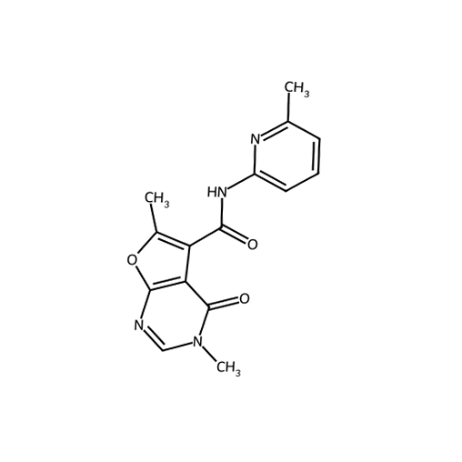 Cc1cccc(NC(=O)c2c(C)oc3ncn(C)c(=O)c23)n1